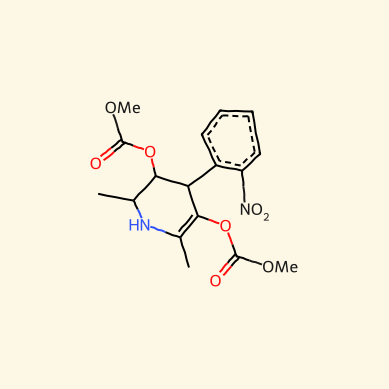 COC(=O)OC1=C(C)NC(C)C(OC(=O)OC)C1c1ccccc1[N+](=O)[O-]